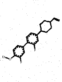 C=CC1CCC(c2ccc(-c3ccc(OCC)c(F)c3)c(F)c2)CC1